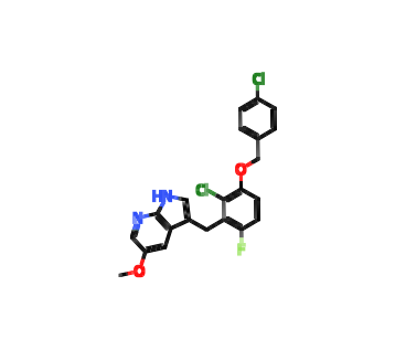 COc1cnc2[nH]cc(Cc3c(F)ccc(OCc4ccc(Cl)cc4)c3Cl)c2c1